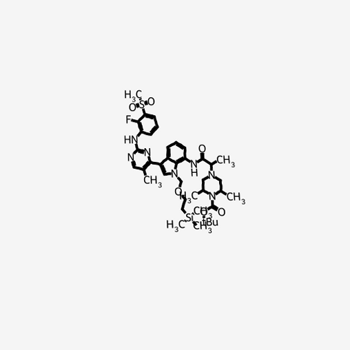 Cc1cnc(Nc2cccc(S(C)(=O)=O)c2F)nc1-c1cn(COCC[Si](C)(C)C)c2c(NC(=O)C(C)N3CC(C)N(C(=O)OC(C)(C)C)C(C)C3)cccc12